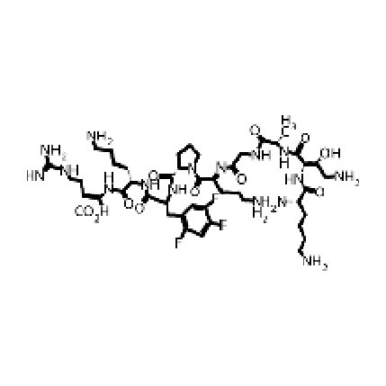 C[C@H](NC(=O)[C@@H](NC(=O)[C@@H](N)CCCCN)[C@@H](O)CN)C(=O)NCC(=O)/N=C(\CCCN)C(=O)N1CCC[C@H]1C(=O)N[C@@H](Cc1cc(F)c(F)cc1F)C(=O)N[C@@H](CCCCN)C(=O)N/C(=C\CCNC(=N)N)C(=O)O